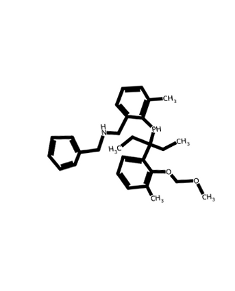 CCC(CC)(Pc1c(C)cccc1CNCc1ccccc1)c1cccc(C)c1OCOC